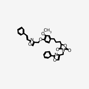 COc1cc(CCCC2OC(=O)N(Cc3coc(-c4ccccc4)n3)C2=O)ccc1OCc1coc(C=Cc2ccccc2)n1